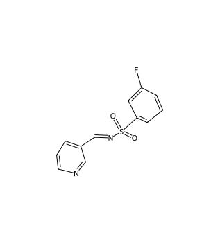 O=S(=O)(/N=C/c1cccnc1)c1cccc(F)c1